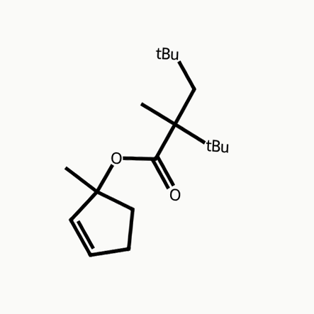 CC(C)(C)CC(C)(C(=O)OC1(C)C=CCC1)C(C)(C)C